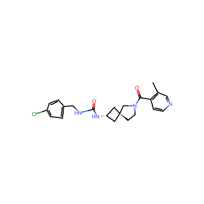 Cc1cnccc1C(=O)N1CC[C@]2(C1)C[C@@H](NC(=O)NCc1ccc(Cl)cc1)C2